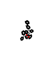 c1ccc(-c2ccc(N(c3ccccc3)c3cc4cccc(N(c5ccccc5)c5ccccc5)c4c4oc(-c5ccccc5)nc34)cc2)cc1